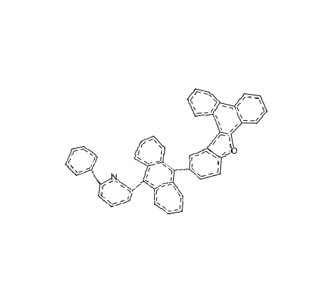 c1ccc(-c2cccc(-c3c4ccccc4c(-c4ccc5oc6c7ccccc7c7ccccc7c6c5c4)c4ccccc34)n2)cc1